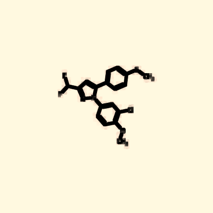 COc1ccc(-n2nc(C(F)F)cc2-c2ccc(SC)cc2)cc1Cl